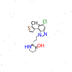 Cc1sccc1-c1cc(Cl)cc2ncn(CCC[C@H]3NCCC[C@@H]3O)c12